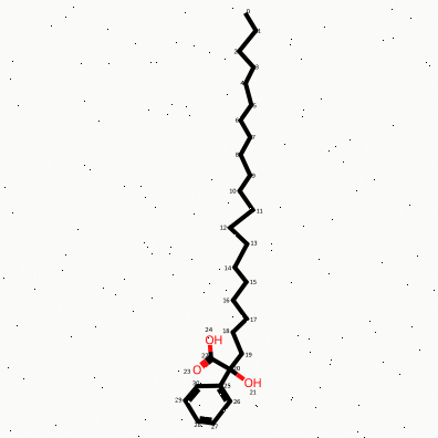 CCCCCCCCCCCCCCCCCCCCC(O)(C(=O)O)c1ccccc1